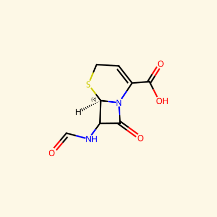 O=CNC1C(=O)N2C(C(=O)O)=CCS[C@H]12